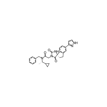 C[C@@H](C1CC1)N(Cc1ccccc1)C(=O)CN1C(=O)N[C@]2(CCc3cc(-c4cc[nH]n4)ccc32)C1=O